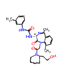 CC1=N[C@@H](NC(=O)Nc2cccc(C)c2)C(=O)N(CC(=O)N2CCCCC2CCO)c2c(C)cccc21